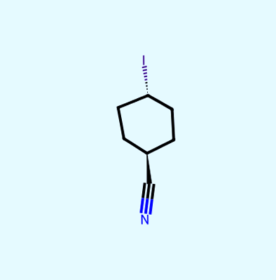 N#C[C@H]1CC[C@H](I)CC1